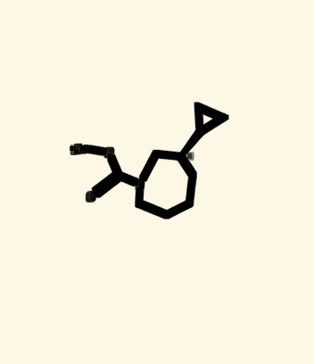 CC(C)(C)OC(=O)N1CCCC[C@H](C2CC2)C1